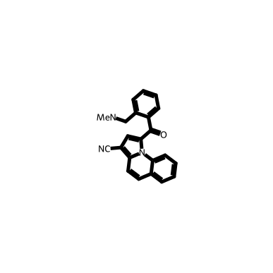 CNCc1ccccc1C(=O)c1cc(C#N)c2ccc3ccccc3n12